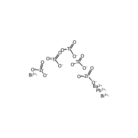 [Ba+2].[Bi+3].[Bi+3].[O]=[Ti]([O-])[O-].[O]=[Ti]([O-])[O-].[O]=[Ti]([O-])[O-].[O]=[Zr]([O-])[O-].[O]=[Zr]([O-])[O-].[Pb+2]